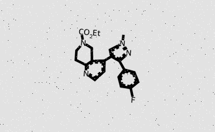 CCOC(=O)N1CCc2nccc(-c3cn(C)nc3-c3ccc(F)cc3)c2C1